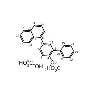 O=C(O)O.O=C(O)Oc1ccc(-c2cccc3ccccc23)cc1-c1ccccc1